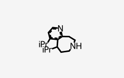 CC(C)c1ccnc2c1C(C(C)C)CCNCC2